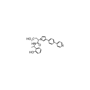 CC(NC(=O)C(CC(=O)O)n1ccc(-c2ccc(-c3ccncc3)cc2)c1)c1ccccc1O